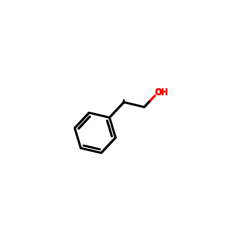 OC[CH]c1ccccc1